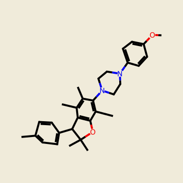 COc1ccc(N2CCN(c3c(C)c(C)c4c(c3C)OC(C)(C)C4c3ccc(C)cc3)CC2)cc1